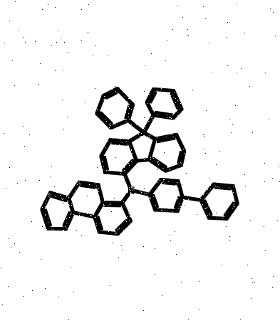 c1ccc(-c2ccc(N(c3cccc4c3-c3ccccc3C4(c3ccccc3)c3ccccc3)c3cccc4c3ccc3ccccc34)cc2)cc1